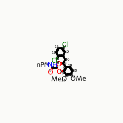 CCCNC(=O)COc1c(C(=O)Cc2cc(Cl)ccc2Cl)ccc(OC)c1OC